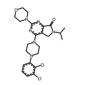 CC(C)N1Cc2c(nc(N3CCOCC3)nc2N2CCN(c3cccc(Cl)c3Cl)CC2)C1=O